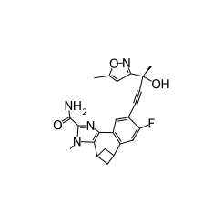 Cc1cc([C@](C)(O)C#Cc2cc3c(cc2F)C2CC(C2)c2c-3nc(C(N)=O)n2C)no1